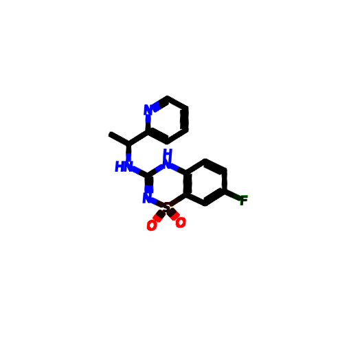 CC(NC1=NS(=O)(=O)c2cc(F)ccc2N1)c1ccccn1